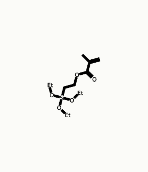 C=C(C)C(=O)OCC[Si](OCC)(OCC)OCC